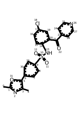 Cc1nc(C)c(-c2ccc(S(=O)(=O)Nc3ccc(Cl)cc3C(=O)c3ccncc3)cc2)o1